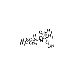 CN(C)C(=O)c1cc(CNC(=O)OC(C)(C)C)nn1CC1CC(O)C1